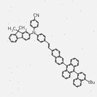 CC(C)(C)c1ccc(-c2c3ccccc3c(-c3ccc4cc(/C=C/c5ccc(N(c6ccc(C#N)cc6)c6ccc7c(c6)C(C)(C)c6ccccc6-7)cc5)ccc4c3)c3ccccc23)c2ccccc12